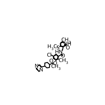 CSc1cc(C)[nH]c(=O)c1CNC(=O)c1cc(Cl)c2c(c1C)OC(C)(C1CCC(c3cnccn3)CC1)O2